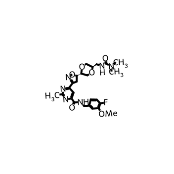 COc1cc(CNC(=O)c2cc(C3=NOC([C@H]4CO[C@H](CNC(=O)N(C)C)CO4)C3)nc(C)n2)ccc1F